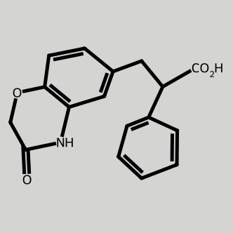 O=C1COc2ccc(CC(C(=O)O)c3ccccc3)cc2N1